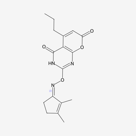 CCCc1cc(=O)oc2nc(O/N=C3/CCC(C)=C3C)[nH]c(=O)c12